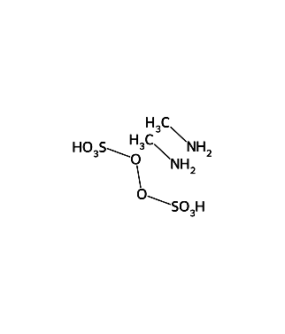 CN.CN.O=S(=O)(O)OOS(=O)(=O)O